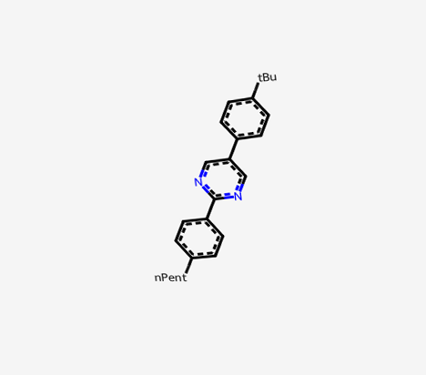 CCCCCc1ccc(-c2ncc(-c3ccc(C(C)(C)C)cc3)cn2)cc1